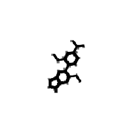 CCc1cc2[nH]ccc2cc1-c1ccc(C(C)C)cc1OC